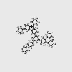 c1ccc(-c2ccc(-c3cc(-c4ccc5c6ccccc6c6ccccc6c5c4)cc(-c4ccc5c(c4)c4cc(-c6ccccc6)ccc4n5-c4ccccc4)c3)cc2)cc1